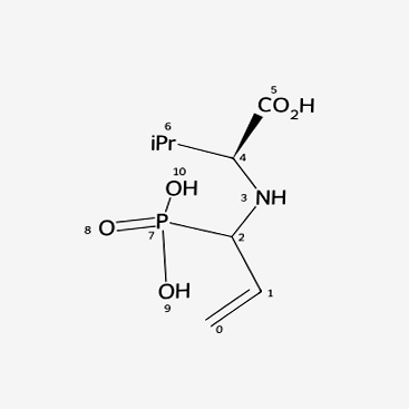 C=CC(N[C@H](C(=O)O)C(C)C)P(=O)(O)O